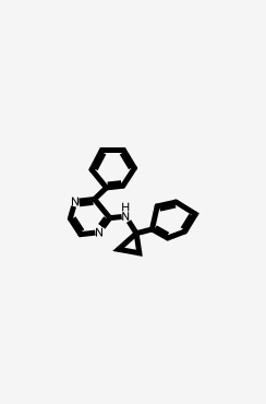 c1ccc(-c2nccnc2NC2(c3ccccc3)CC2)cc1